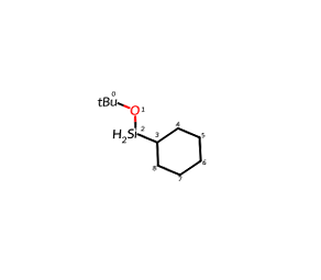 CC(C)(C)O[SiH2]C1CCCCC1